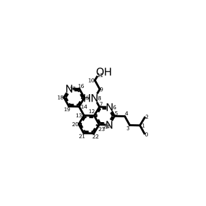 CC(C)CCc1nc(NCCO)c2c(-c3ccncc3)cccc2n1